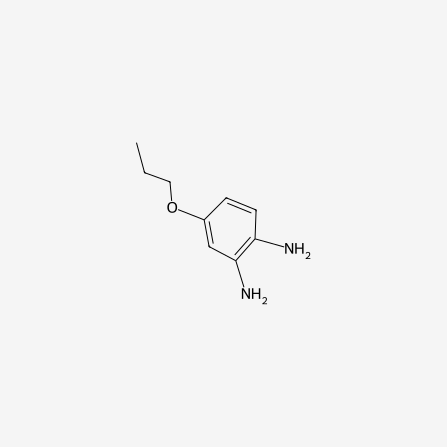 CCCOc1ccc(N)c(N)c1